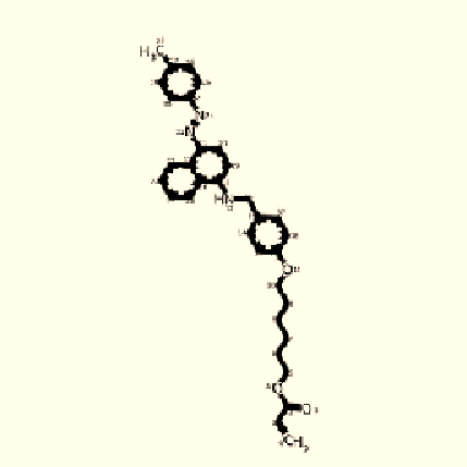 C=CC(=O)OCCCCCCOc1ccc(CNc2ccc(/N=N/c3ccc(C)cc3)c3ccccc23)cc1